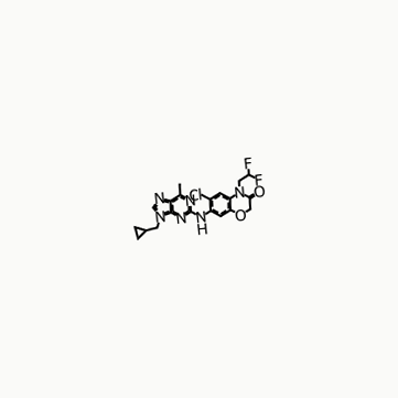 Cc1nc(Nc2cc3c(cc2Cl)N(CC(F)F)C(=O)CO3)nc2c1ncn2CC1CC1